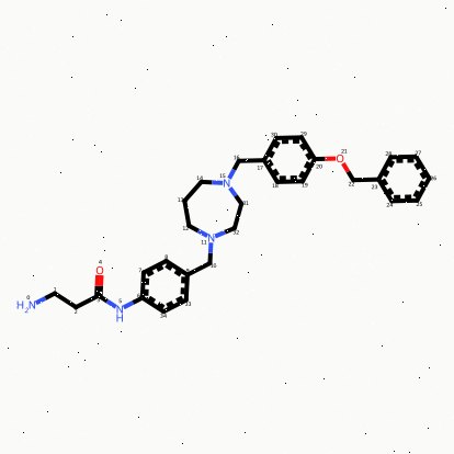 NCCC(=O)Nc1ccc(CN2CCCN(Cc3ccc(OCc4ccccc4)cc3)CC2)cc1